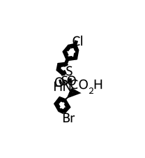 O=C(O)[C@@]1(NS(=O)(=O)c2ccc(-c3ccc(Cl)cc3)s2)C[C@H]1c1cccc(Br)c1